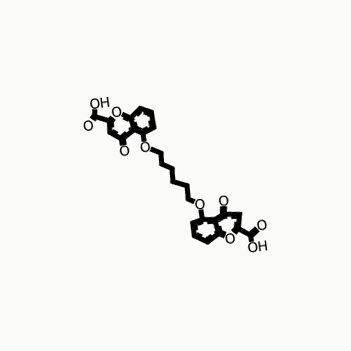 O=C(O)c1cc(=O)c2c(OCCCCCCOc3cccc4oc(C(=O)O)cc(=O)c34)cccc2o1